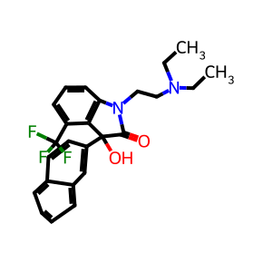 CCN(CC)CCN1C(=O)C(O)(c2ccc3ccccc3c2)c2c1cccc2C(F)(F)F